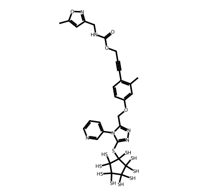 Cc1cc(CNC(=O)OCC#Cc2ccc(OCc3nnc(SC4(S)C(S)(S)C(S)(S)C(S)(S)C4(S)S)n3-c3cccnc3)cc2C)no1